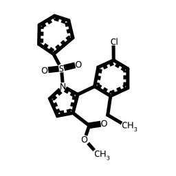 CCc1ccc(Cl)cc1-c1c(C(=O)OC)ccn1S(=O)(=O)c1ccccc1